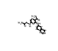 NC(=O)CNc1cnc(C(N)=O)c(Nc2ccc3ncncc3c2)n1